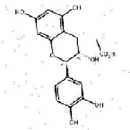 CC(=O)O.Oc1cc(O)c2c(c1)O[C@H](c1ccc(O)c(O)c1)[C@@H](O)C2